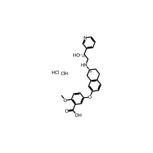 COc1ccc(Oc2ccc3c(c2)C[C@@H](NC[C@H](O)c2cccnc2)CC3)cc1C(=O)O.Cl.Cl